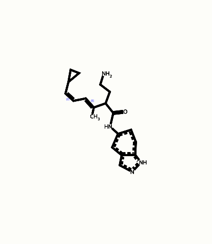 C/C(=C\C=C/C1CC1)C(CCN)C(=O)Nc1ccc2[nH]ncc2c1